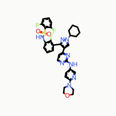 O=S(=O)(Nc1cccc(-c2nn(C3CCCCC3)cc2-c2ccnc(Nc3ccc(N4CCOCC4)nc3)n2)c1F)c1c(F)cccc1F